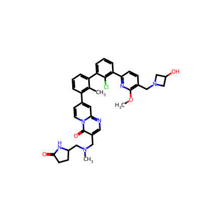 COc1nc(-c2cccc(-c3cccc(-c4ccn5c(=O)c(CN(C)CC6CCC(=O)N6)cnc5c4)c3C)c2Cl)ccc1CN1CC(O)C1